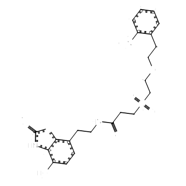 O=C(CCS(=O)(=O)CCOCCc1ccccc1[N+](=O)[O-])NCCc1ccc(O)c2[nH]c(=O)sc12